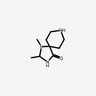 CC1NC(=O)C2(CCNCC2)N1C